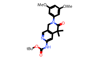 COc1cc(OC)cc(N2Cc3cnc(NC(=O)OC(C)(C)C)cc3C(C)(C)C2=O)c1